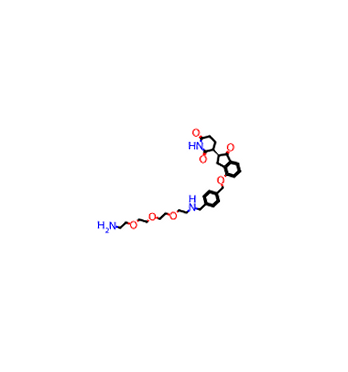 NCCOCCOCCOCCNCc1ccc(COc2cccc3c2C[C@@H](C2CCC(=O)NC2=O)C3=O)cc1